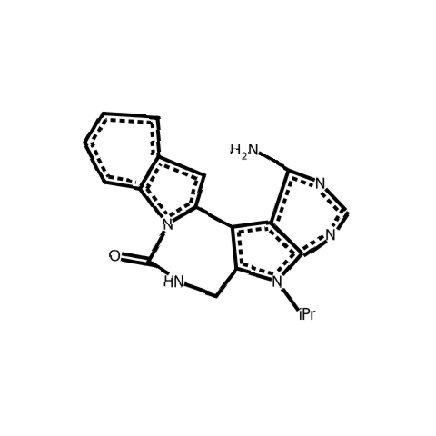 CC(C)n1c2c(c3c(N)ncnc31)-c1cc3ccccc3n1C(=O)NC2